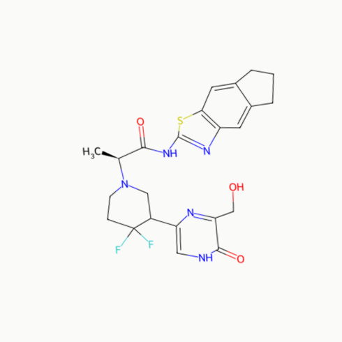 C[C@@H](C(=O)Nc1nc2cc3c(cc2s1)CCC3)N1CCC(F)(F)C(c2c[nH]c(=O)c(CO)n2)C1